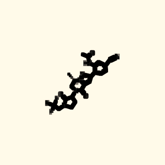 CC(=O)Nc1cc(C#N)ccc1-c1cc2n(n1)[C@@H](C)CN(C1CCN(CC(F)(F)F)C1=O)C2=O